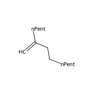 [CH]=C(CCCCC)CCCCCCC